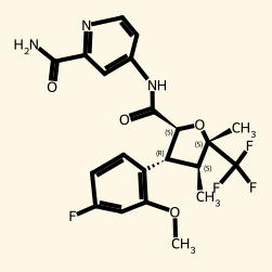 COc1cc(F)ccc1[C@@H]1[C@@H](C(=O)Nc2ccnc(C(N)=O)c2)O[C@](C)(C(F)(F)F)[C@H]1C